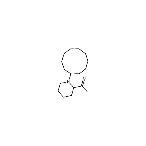 CC(=O)C1CCCCN1C1CCCCCCCCC1